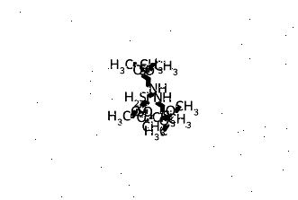 CCO[Si](C)(CCCNC(NCCC[Si](C)(OCC)OCC)[SiH2]C=C[Si](OCC)(OCC)OCC)OCC